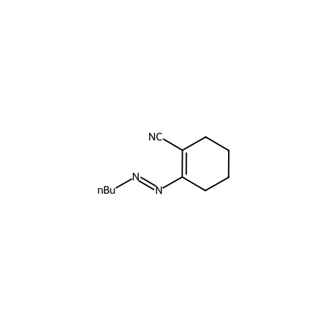 CCCCN=NC1=C(C#N)CCCC1